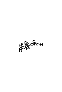 CC1(C)C(=O)N(c2cc(C(F)(F)F)c(C#N)cc2F)C(=S)N1c1ccc2c(c1)SC[C@H](CO)O2